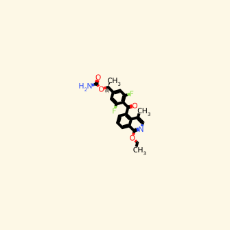 CCOc1ncc(C)c2c(C(=O)c3c(F)cc([C@@H](C)OC(N)=O)cc3F)cccc12